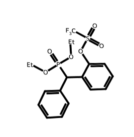 CCOP(=O)(OCC)C(c1ccccc1)c1ccccc1OS(=O)(=O)C(F)(F)F